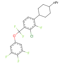 CCCC1CCC(c2ccc(C(F)(F)Oc3cc(F)c(F)c(F)c3)c(Cl)c2F)CC1